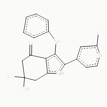 CC1(C)CC(=O)c2c([nH]c(-c3ccnc(F)c3)c2Nc2ccccc2)C1